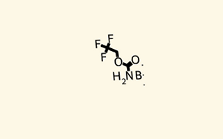 NC(=O)OCC(F)(F)F.[B]